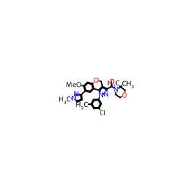 COc1cc2c(cc1-c1ccn(C)n1)-c1c(c(C(=O)N3CCOCC3(C)C)nn1-c1cc(C)cc(Cl)c1)CO2